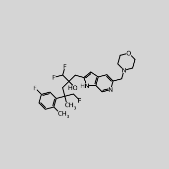 Cc1ccc(F)cc1C(C)(CF)CC(O)(Cc1cc2cc(CN3CCOCC3)ncc2[nH]1)C(F)F